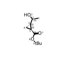 C[C@H](O)[C@H]1C[C@@H]1C(=O)OC(C)(C)C